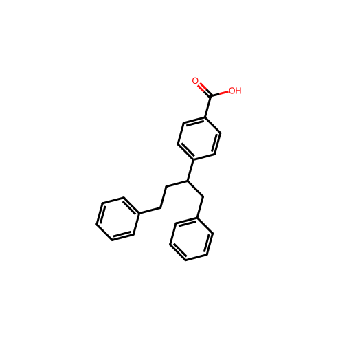 O=C(O)c1ccc(C(CCc2ccccc2)Cc2ccccc2)cc1